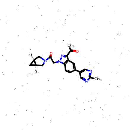 CC(=O)c1nn(CC(=O)N2C[C@H]3C[C@H]3C2)c2ccc(-c3cnc(C)nc3)cc12